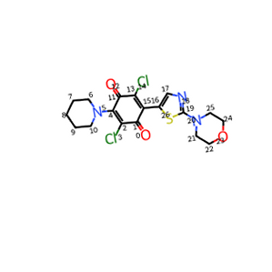 O=C1C(Cl)=C(N2CCCCC2)C(=O)C(Cl)=C1c1cnc(N2CCOCC2)s1